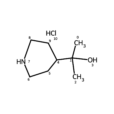 CC(C)(O)C1CCNCC1.Cl